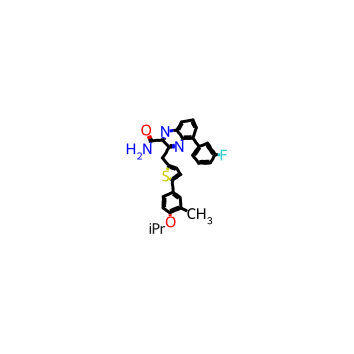 Cc1cc(-c2ccc(Cc3nc4c(-c5cccc(F)c5)cccc4nc3C(N)=O)s2)ccc1OC(C)C